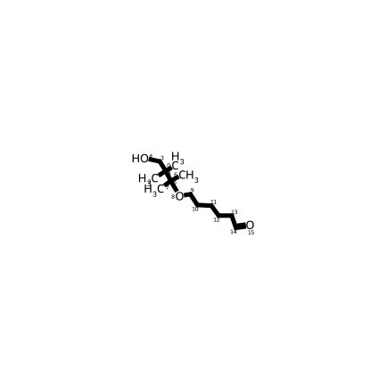 CC(C)(CO)C(C)(C)OCCCCCC=O